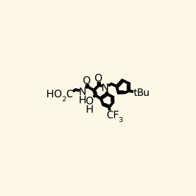 CC(C)(C)c1ccc(Cn2c(=O)c(C(=O)NCC(=O)O)c(O)c3cc(C(F)(F)F)ccc32)cc1